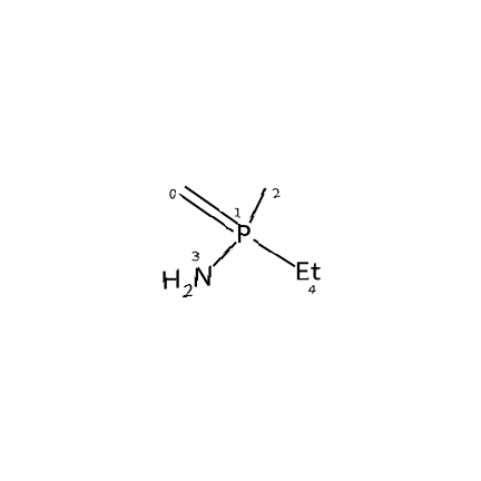 C=P(C)(N)CC